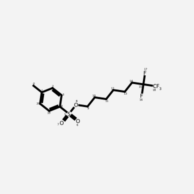 Cc1ccc(S(=O)(=O)OCCCCCCC(F)(F)C(F)(F)F)cc1